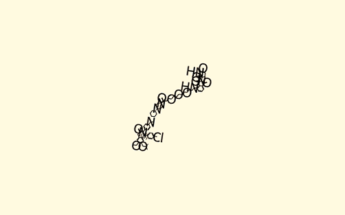 COc1cc2c(cc1OC(C)C)[C@H](c1ccc(Cl)cc1)N(c1ccc(N(C)C[C@H]3CC[C@H](N4CCN(C(=O)CCOCCOCCOCCNc5cccc6c5C(=O)N(C5CCC(=O)NC5=O)C6=O)CC4)CC3)cc1)C(=O)C2